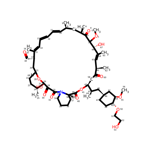 COC1C(=O)C(C)C[C@H](C)/C=C/C=C/C=C(\C)[C@@H](C=O)C[C@@H]2CC[C@@H](C)[C@@](O)(O2)C(=O)C(=O)N2CCCC[C@H]2C(=O)O[C@H]([C@H](C)C[C@@H]2CC[C@@H](OCCO)[C@H](OC)C2)CC(=O)[C@H](C)/C=C(\C)[C@H]1O